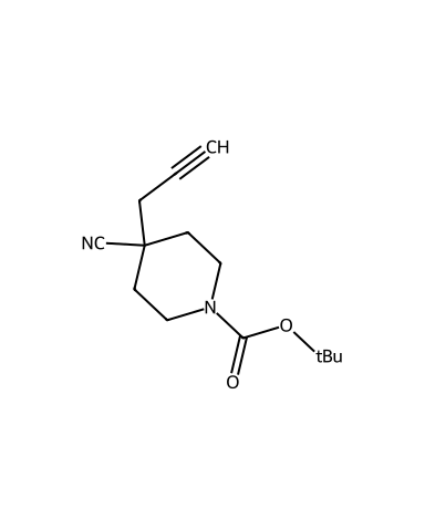 C#CCC1(C#N)CCN(C(=O)OC(C)(C)C)CC1